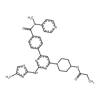 CCC(=O)OC1CCN(c2cc(-c3ccc(C(=O)N(C)c4ccncc4)cc3)nc(Nc3nc(C)cs3)n2)CC1